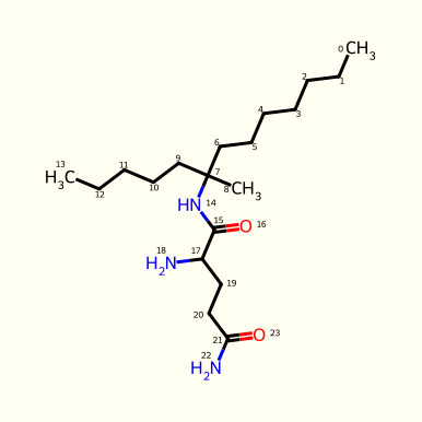 CCCCCCCC(C)(CCCCC)NC(=O)C(N)CCC(N)=O